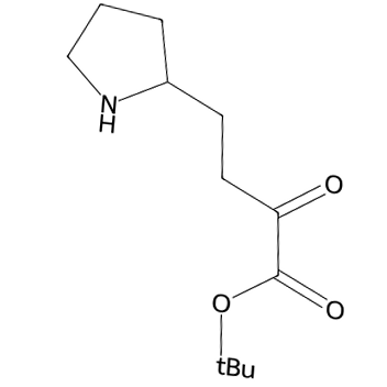 CC(C)(C)OC(=O)C(=O)CCC1CCCN1